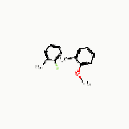 [CH2]c1ccccc1F.[CH2]c1ccccc1OC